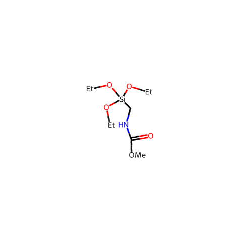 CCO[Si](CNC(=O)OC)(OCC)OCC